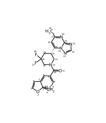 C=c1occ/c1=C/C(=C\C)C(=O)N1C[C@@H](c2cc(C)nc3ncnn23)CC(F)(F)C1